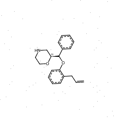 C=CCc1ccccc1OC(c1ccccc1)[C@@H]1CNCCO1